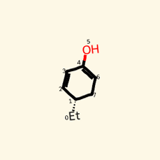 CC[C@@H]1C=CC(O)=CC1